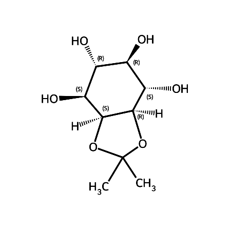 CC1(C)O[C@@H]2[C@@H](O)[C@H](O)[C@@H](O)[C@H](O)[C@@H]2O1